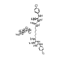 N=C(NCCCCCCNC(=N)NC(=N)Nc1ccc(Cl)cc1)NC(=N)Nc1ccc(Cl)cc1.[O-][Cl+3]([O-])([O-])O.[O-][Cl+3]([O-])([O-])O